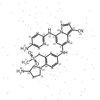 CS(=O)(=O)Cc1cc(Nc2cc(Nc3ccc(N)cn3)n3ncc(C#N)c3n2)ccc1N1CCC(N)C1